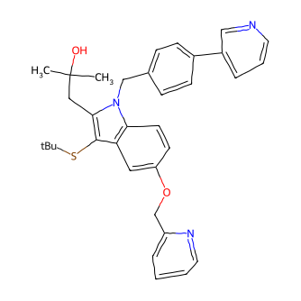 CC(C)(O)Cc1c(SC(C)(C)C)c2cc(OCc3ccccn3)ccc2n1Cc1ccc(-c2cccnc2)cc1